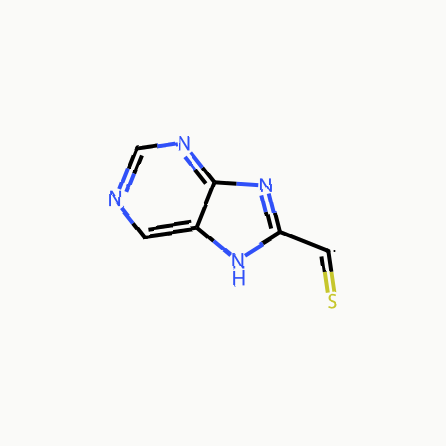 S=[C]c1nc2ncncc2[nH]1